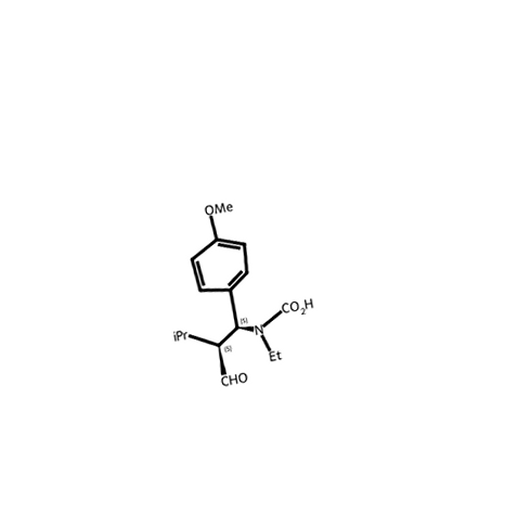 CCN(C(=O)O)[C@H](c1ccc(OC)cc1)[C@@H](C=O)C(C)C